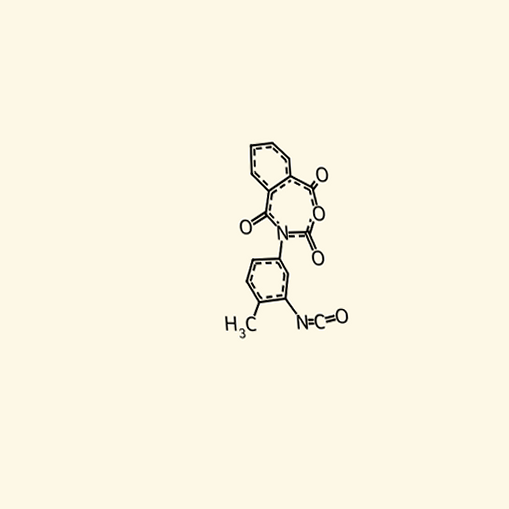 Cc1ccc(-n2c(=O)oc(=O)c3ccccc3c2=O)cc1N=C=O